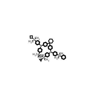 C[Si](C)(C)c1ccc(N(c2ccc(C3(c4ccc(N(c5ccc([Si](C)(C)c6ccccc6)cc5)c5ccc([Si](C)(C)C6CC6)cc5)cc4)CCCCC3)cc2)c2ccc([Si](C)(C)C3CCC3)cc2)cc1